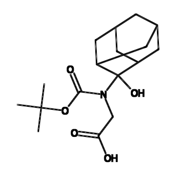 CC(C)(C)OC(=O)N(CC(=O)O)C1(O)C2CC3CC(C2)CC1C3